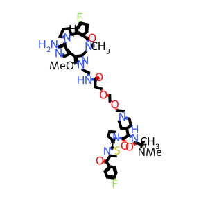 CN[C@H](C)C(=O)NC(C(=O)N1CCC[C@@H]1C1=NC(C(=O)c2ccc(F)cc2)CS1)C1CCN(CCOCCOCCC(=O)NCCn2nc3c(c2OC)-c2cnc(N)c(c2)N2CCC[C@@H]2c2cc(F)ccc2C(=O)N(C)C3)CC1